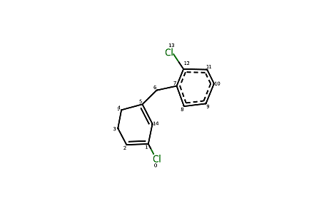 ClC1=CC[CH]C(Cc2ccccc2Cl)=C1